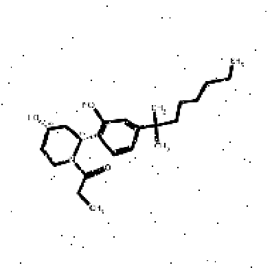 CCCCCCC(C)(C)c1ccc([C@H]2C[C@@H](O)CCN2C(=O)CC)c(O)c1